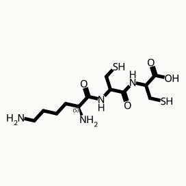 NCCCC[C@H](N)C(=O)NC(CS)C(=O)NC(CS)C(=O)O